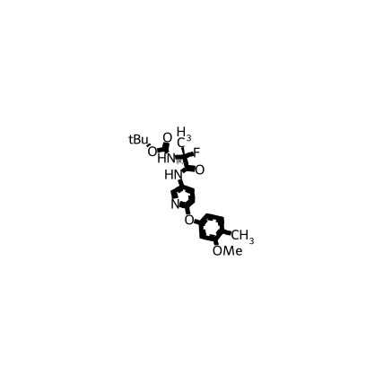 COc1cc(Oc2ccc(NC(=O)[C@@](C)(F)NC(=O)OC(C)(C)C)cn2)ccc1C